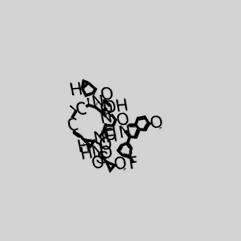 COc1ccc2c(O[C@@H]3C[C@H]4C(=O)N[C@]5(C(=O)NS(=O)(=O)C6CC6)C[C@H]5/C=C\CC[C@@H](C)C[C@@H](C)[C@H](N(C(=O)O)[C@H]5CC6C[C@H]6C5)C(=O)N4C3)nc(-c3ccc(OC)c(F)c3)cc2c1